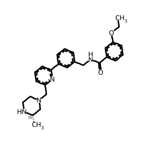 CCOc1cccc(C(=O)NCc2cccc(-c3cccc(CN4CCN[C@@H](C)C4)n3)c2)c1